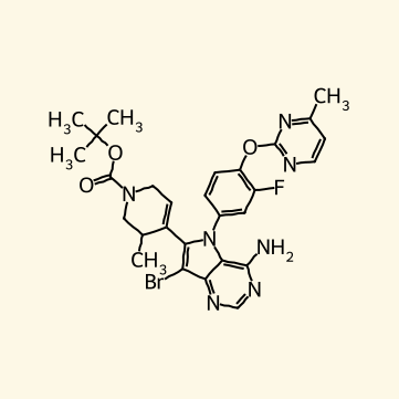 Cc1ccnc(Oc2ccc(-n3c(C4=CCN(C(=O)OC(C)(C)C)CC4C)c(Br)c4ncnc(N)c43)cc2F)n1